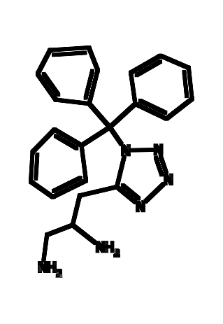 NCC(N)Cc1nnnn1C(c1ccccc1)(c1ccccc1)c1ccccc1